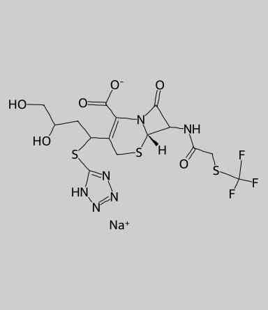 O=C(CSC(F)(F)F)NC1C(=O)N2C(C(=O)[O-])=C(C(CC(O)CO)Sc3nnn[nH]3)CS[C@@H]12.[Na+]